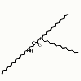 CCCCCCCCCCCCNCCOC(=O)CN(CCCCCCCCCCCC)CCCCCCCCCCCC